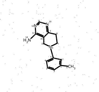 Cc1cccc(N2CCc3ncnc(N)c3C2)c1